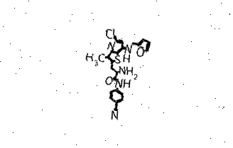 Cc1c(C[C@@H](N)C(=O)Nc2ccc(C#N)cc2)sc2c(NCc3ccco3)cc(Cl)nc12